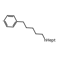 CCCCCCCCCCCCc1cc[c]cc1